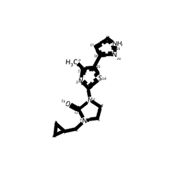 Cc1nc(N2CCN(CC3CC3)C2=O)sc1-c1cc[nH]n1